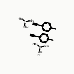 C#Cc1ccc(C)cc1.C#Cc1ccc(C)cc1.CCCCP(CCCC)CCCC.CCCCP(CCCC)CCCC.[Pt]